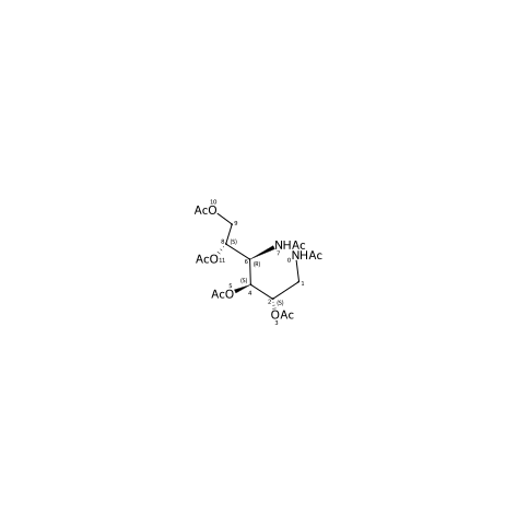 CC(=O)NC[C@H](OC(C)=O)[C@@H](OC(C)=O)[C@H](NC(C)=O)[C@@H](COC(C)=O)OC(C)=O